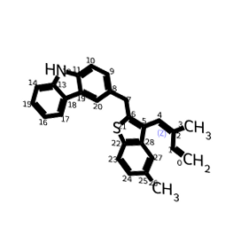 C=C/C(C)=C\c1c(Cc2ccc3[nH]c4ccccc4c3c2)sc2ccc(C)cc12